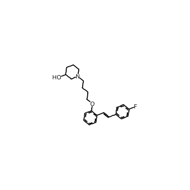 OC1CCCN(CCCCOc2ccccc2C=Cc2ccc(F)cc2)C1